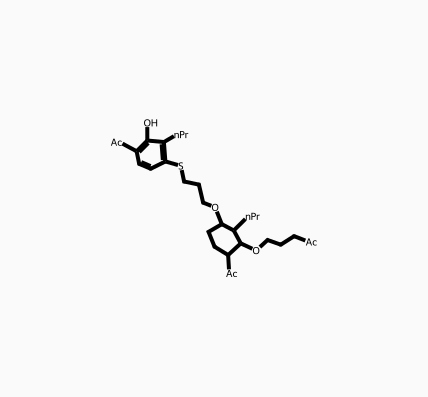 CCCc1c(SCCCOC2CCC(C(C)=O)C(OCCCC(C)=O)C2CCC)ccc(C(C)=O)c1O